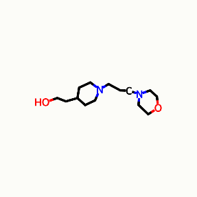 OCCC1CCN(CCCN2CCOCC2)CC1